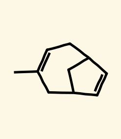 CC1=CCC2C=CC(C1)C2